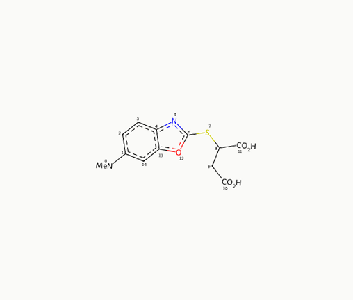 CNc1ccc2nc(SC(CC(=O)O)C(=O)O)oc2c1